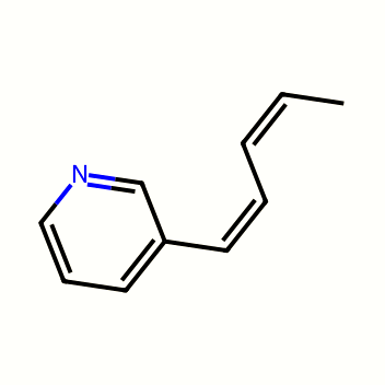 C/C=C\C=C/c1cccnc1